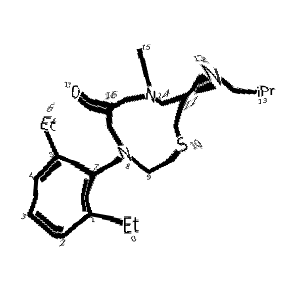 CCc1cccc(CC)c1N1CSC(=NC(C)C)N(C)C1=O